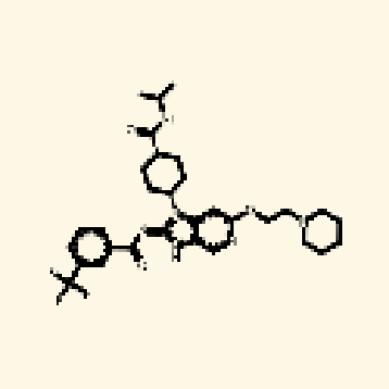 CC(C)NC(=O)[C@H]1CC[C@@H](n2/c(=N/C(=O)c3cccc(C(F)(F)F)c3)[nH]c3cnc(OCCN4CCCCC4)cc32)CC1